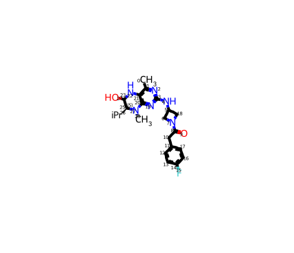 Cc1nc(NC2CN(C(=O)Cc3ccc(F)cc3)C2)nc2c1NC(O)[C@H](C(C)C)N2C